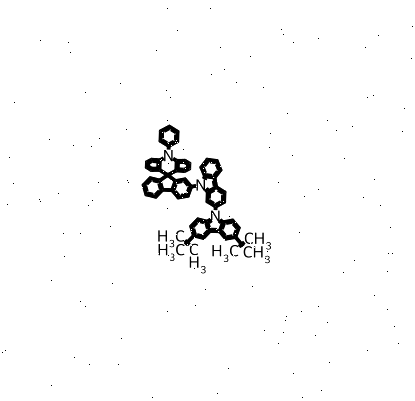 CC(C)(C)c1ccc2c(c1)c1cc(C(C)(C)C)ccc1n2-c1ccc2c3ccccc3n(-c3ccc4c(c3)C3(c5ccccc5-4)c4ccccc4N(c4ccccc4)c4ccccc43)c2c1